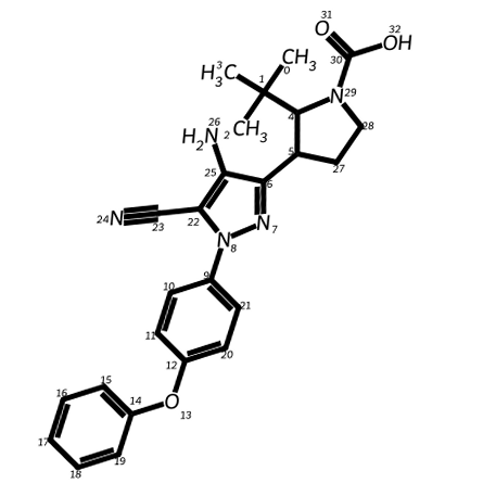 CC(C)(C)C1C(c2nn(-c3ccc(Oc4ccccc4)cc3)c(C#N)c2N)CCN1C(=O)O